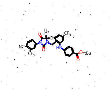 CC(C)(C)OC(=O)c1ccc(Nc2cc(C(F)(F)F)ccc2CN2C(=O)N(c3ccc(C#N)c(C(F)(F)F)c3)C(=O)C2(C)C)cc1